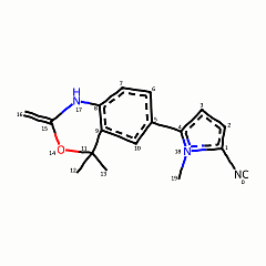 [C-]#[N+]c1ccc(-c2ccc3c(c2)C(C)(C)OC(=C)N3)n1C